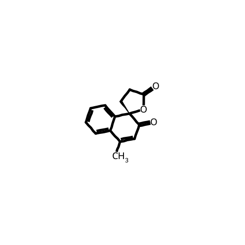 CC1=CC(=O)[C@]2(CCC(=O)O2)c2ccccc21